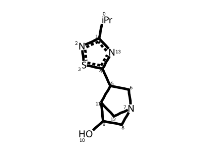 CC(C)c1nsc(C2CN3CC(O)C2C3)n1